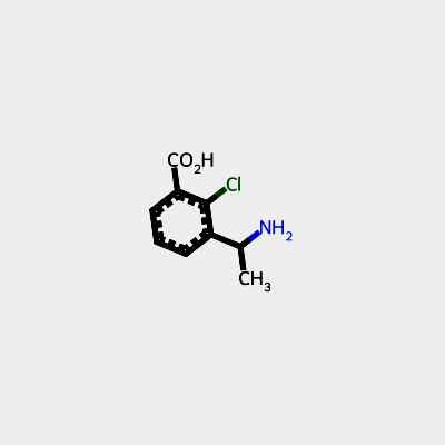 CC(N)c1cccc(C(=O)O)c1Cl